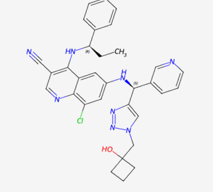 CC[C@@H](Nc1c(C#N)cnc2c(Cl)cc(N[C@@H](c3cccnc3)c3cn(CC4(O)CCC4)nn3)cc12)c1ccccc1